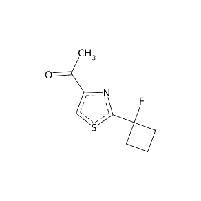 CC(=O)c1csc(C2(F)CCC2)n1